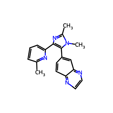 Cc1cccc(-c2nc(C)n(C)c2-c2ccc3nccnc3c2)n1